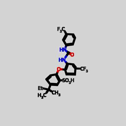 CCC(C)(C)c1ccc(Oc2ccc(C(F)(F)F)cc2NC(=O)Nc2cccc(C(F)(F)F)c2)c(S(=O)(=O)O)c1